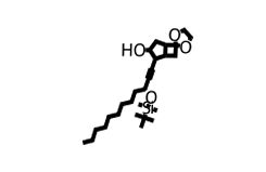 CCCCCCCCCC(C#CC1C(O)CC2C1CC21OCCO1)O[Si](C)(C)C(C)(C)C